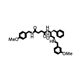 COc1ccc(CNC(=O)CCC(=O)N[C@@H](Cc2ccccc2)[C@H](O)CNCc2cccc(OC)c2)cc1